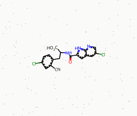 N#Cc1cc(Cl)ccc1CC(NC(=O)c1cc2cc(Cl)cnc2[nH]1)C(=O)O